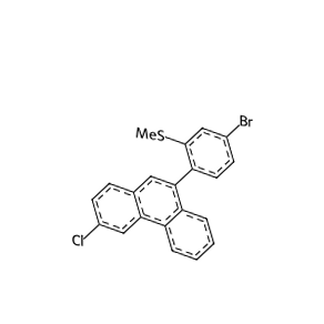 CSc1cc(Br)ccc1-c1cc2ccc(Cl)cc2c2ccccc12